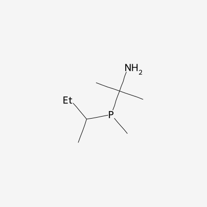 CCC(C)P(C)C(C)(C)N